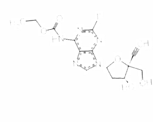 C#C[C@]1(CO)O[C@@H](n2cnc3c(NC(=O)OCC)nc(F)nc32)C[C@@H]1O